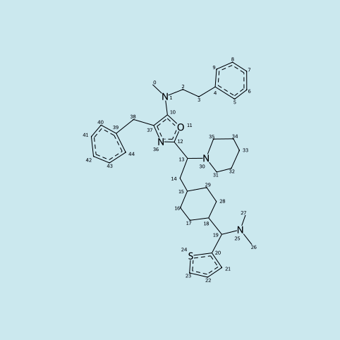 CN(CCc1ccccc1)c1oc(C(CC2CCC(C(c3cccs3)N(C)C)CC2)N2CCCCC2)nc1Cc1ccccc1